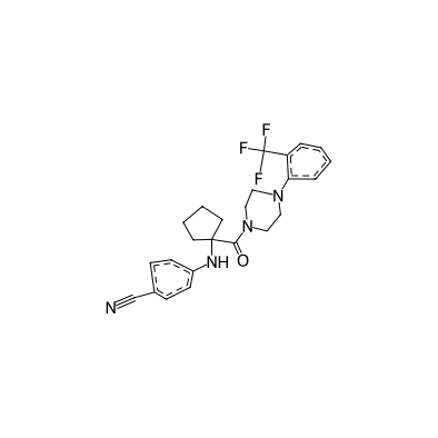 N#Cc1ccc(NC2(C(=O)N3CCN(c4ccccc4C(F)(F)F)CC3)CCCC2)cc1